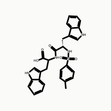 Cc1ccc(S(=O)(=O)N[C@@H](Cc2c[nH]c3ccccc23)C(=O)NC(Cc2c[nH]c3ccccc23)C(=O)O)cc1